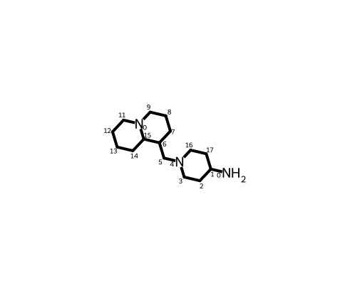 NC1CCN(CC2CCCN3CCCCC23)CC1